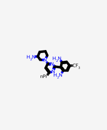 CCCc1cc(N2CCCC(N)C2)nc(-c2c(N)cc(C(F)(F)F)cc2N)n1